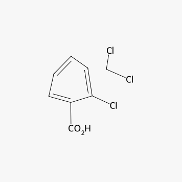 ClCCl.O=C(O)c1ccccc1Cl